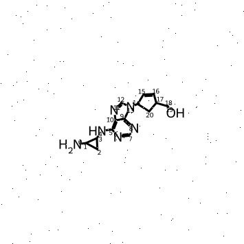 NC1CC1Nc1ncnc2c1ncn2C1C=CC(CO)C1